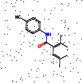 CC(C)=CC(C(=O)Nc1ccc(C#N)cc1)=C(C)C